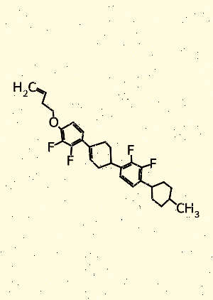 C=CCCOc1ccc(C2=CCC(c3ccc(C4CCC(C)CC4)c(F)c3F)CC2)c(F)c1F